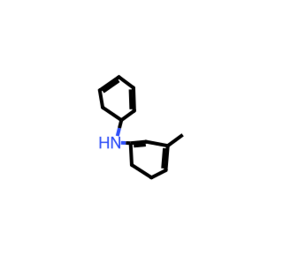 CC1=CCCC(NC2C=CC=CC2)=C1